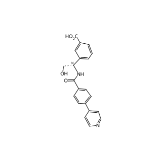 O=C(O)c1cccc([C@@H](CO)NC(=O)c2ccc(-c3ccncc3)cc2)c1